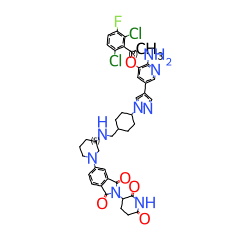 C[C@@H](Oc1cc(-c2cnn(C3CCC(CN[C@H]4CCCN(c5ccc6c(c5)C(=O)N(C5CCC(=O)NC5=O)C6=O)C4)CC3)c2)cnc1N)c1c(Cl)ccc(F)c1Cl